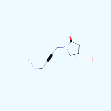 CN(C)CC#CCN1C[C@H](O)CC1=O